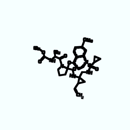 C=CC1CC1(CNS(=O)(=O)C1CC1)NC(=O)C1(Oc2ccnc3cc(OC)ccc23)CCCN1C(=O)C(NC(=O)OC(C)(C)C)C(C)(C)C